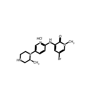 C[C@H]1CNCCN1c1ccc(Nc2cc(Br)cn(C)c2=O)nc1.Cl